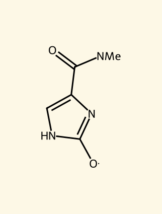 CNC(=O)c1c[nH]c([O])n1